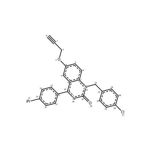 C#CCOc1ccc2c(c1)c(-c1ccc(C(C)C)cc1)nc(=O)n2Cc1ccc(Cl)cc1